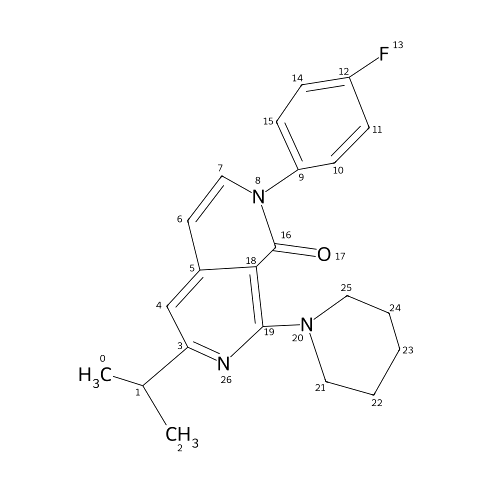 CC(C)c1cc2ccn(-c3ccc(F)cc3)c(=O)c2c(N2CCCCC2)n1